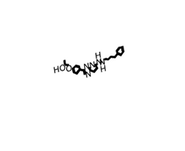 CC(O)COc1ccc(-c2cnc3ccc(NNCCCCc4ccccc4)nc3n2)cc1